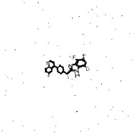 C[C@@H](c1nc2c(F)c(F)cc(Cl)c2[nH]1)C1CCC(c2ccnc3ccc(F)cc23)CC1